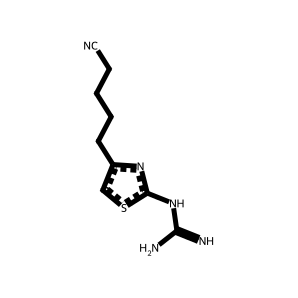 N#CCCCCc1csc(NC(=N)N)n1